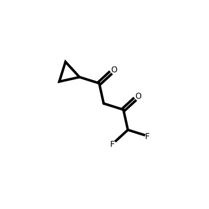 O=C(CC(=O)C1CC1)C(F)F